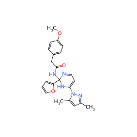 COc1ccc(CC(=O)NC2(c3ccco3)N=CC=C(n3nc(C)cc3C)N2)cc1